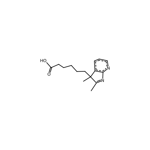 CC1=Nc2ncccc2C1(C)CCCCCC(=O)O